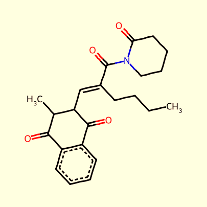 CCCCC(=CC1C(=O)c2ccccc2C(=O)C1C)C(=O)N1CCCCC1=O